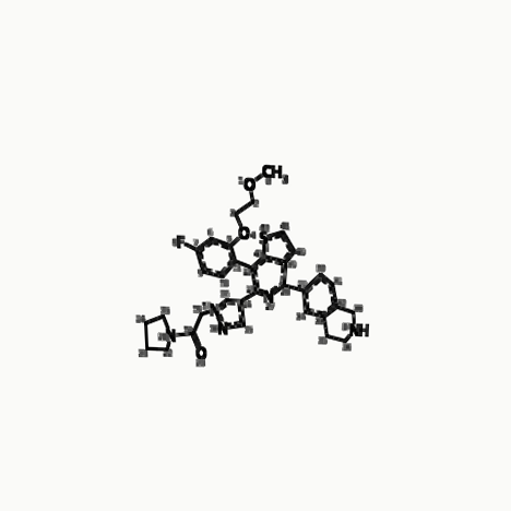 COCCOc1cc(F)ccc1-c1c(-c2cnn(CC(=O)N3CCCC3)c2)nc(-c2ccc3c(c2)CCNC3)c2ccsc12